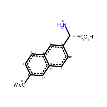 COc1ccc2cc([C@H](N)C(=O)O)ccc2c1